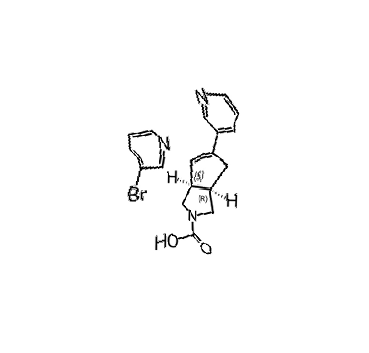 Brc1cccnc1.O=C(O)N1C[C@@H]2CC(c3cccnc3)=C[C@@H]2C1